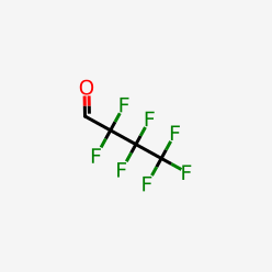 O=CC(F)(F)C(F)(F)C(F)(F)F